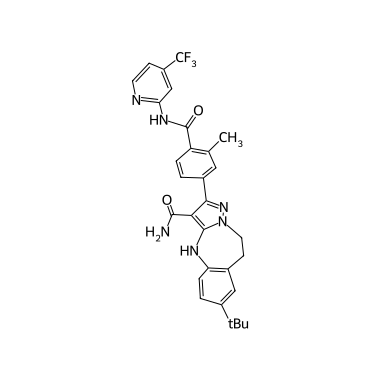 Cc1cc(-c2nn3c(c2C(N)=O)Nc2ccc(C(C)(C)C)cc2CC3)ccc1C(=O)Nc1cc(C(F)(F)F)ccn1